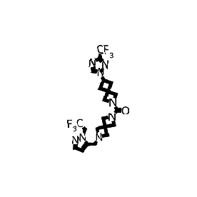 O=C(N1CC2(CC(n3cnc(C(F)(F)F)n3)C2)C1)N1CC2(CN(Cc3ccnn3CC(F)(F)F)C2)C1